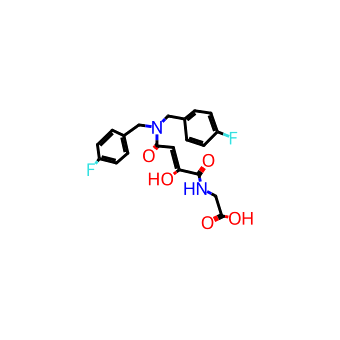 O=C(O)CNC(=O)/C(O)=C/C(=O)N(Cc1ccc(F)cc1)Cc1ccc(F)cc1